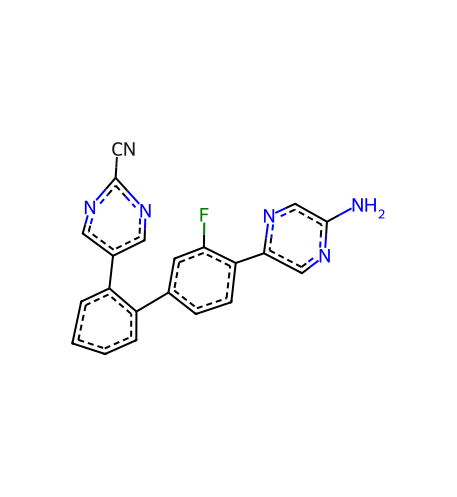 N#Cc1ncc(-c2ccccc2-c2ccc(-c3cnc(N)cn3)c(F)c2)cn1